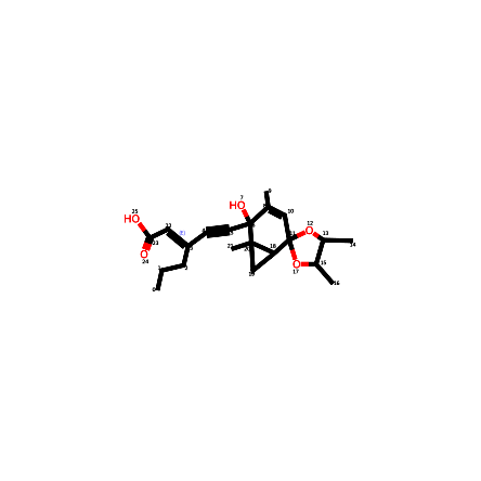 CCC/C(C#CC1(O)C(C)=CC2(OC(C)C(C)O2)C2CC21C)=C\C(=O)O